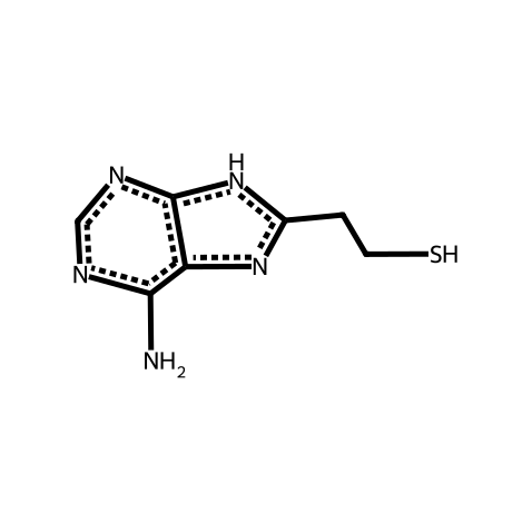 Nc1ncnc2[nH]c(CCS)nc12